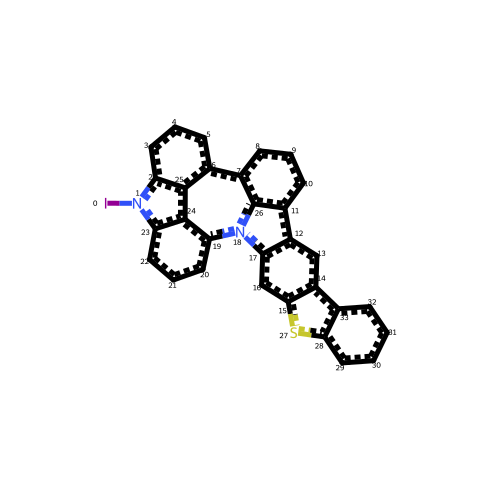 In1c2cccc3c4cccc5c6cc7c(cc6n(c6cccc1c6c32)c45)sc1ccccc17